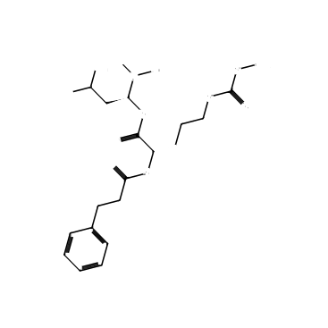 CNC(=N)NCCC[C@H](NC(=O)CCc1ccccc1)C(=O)N[C@@H](CC(C)C)B(O)O